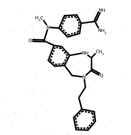 CC1Nc2cc(C(=O)N(C)c3ccc(C(=N)N)cc3)ccc2CN(CCc2ccccc2)C1=O